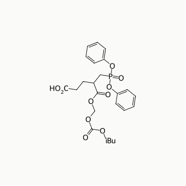 CCC(C)OC(=O)OCOC(=O)C(CCC(=O)O)CP(=O)(Oc1ccccc1)Oc1ccccc1